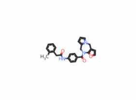 Cc1ccccc1CC(=O)Nc1ccc(C(=O)N2Cc3cccn3Cc3ccoc32)cc1